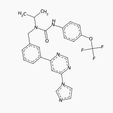 CC(C)N(Cc1cccc(-c2cc(-n3ccnc3)ncn2)c1)C(=O)Nc1ccc(OC(F)(F)F)cc1